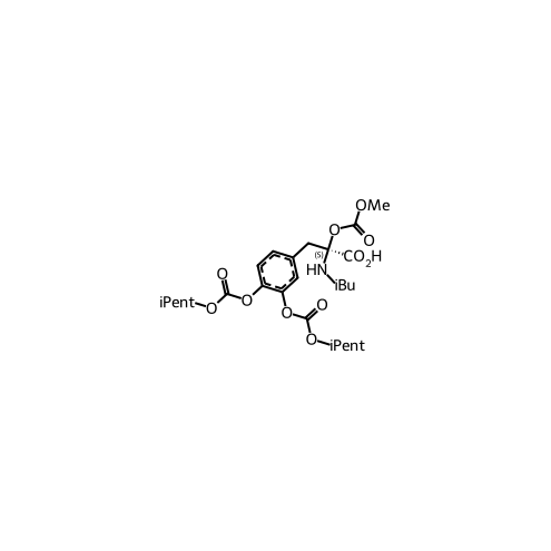 CCCC(C)OC(=O)Oc1ccc(C[C@](NC(C)CC)(OC(=O)OC)C(=O)O)cc1OC(=O)OC(C)CCC